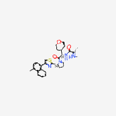 CN[C@@H](C)C(=O)N[C@H](C(=O)N1CCC[C@H]1c1nc(-c2ccc(C)c3ccccc23)cs1)C1CCOCC1